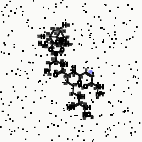 CCCNC(=O)/C=C\C(=O)N[C@@H](CCCNC(=N)N[N+](=O)[O-])C(=O)N[C@@H](CC(C)C)B1O[C@@H]2C[C@@H]3C[C@@H](C3(C)C)[C@]2(C)O1